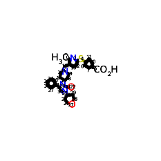 Cc1nc(Sc2ccc(C(=O)O)cc2)ccc1CN1CCC(N2C(=O)N(C3CCOCC3)CC2c2ccccc2)CC1